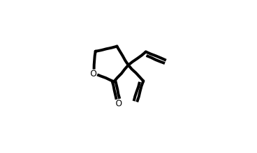 C=CC1(C=C)CCOC1=O